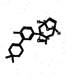 CO[C@]1(c2ccc(C)c(C3=CCC(C)(C)CC3)c2)C[C@@H]2C=C[C@H](C[C@H]1C)O2